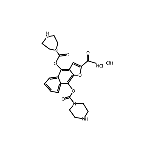 CC(=O)c1cc2c(OC(=O)N3CCNCC3)c3ccccc3c(OC(=O)N3CCNCC3)c2o1.Cl.Cl